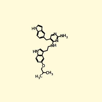 CC(C)COc1ccc2[nH]cc(CCNc3nc(N)ncc3Cc3ccc4[nH]ccc4c3)c2c1